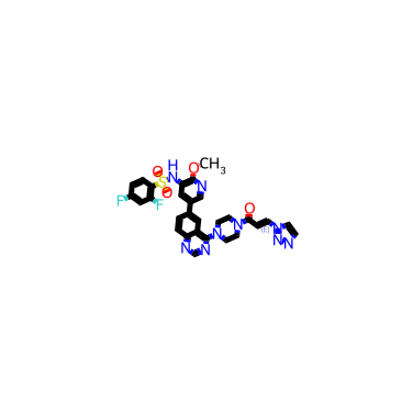 COc1ncc(-c2ccc3ncnc(N4CCN(C(=O)/C=C/n5ccnn5)CC4)c3c2)cc1NS(=O)(=O)c1ccc(F)cc1F